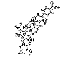 COCC(=O)N(CC1CC1)C[C@H](O)[C@@]12CC[C@]3(C)[C@H](CC[C@H]4[C@@]3(C)CC[C@]3(C)C(C)(C)C(c5ccc(C(=O)O)cc5)=CC[C@]43C)C1=C(C(C)C)C(=O)C2